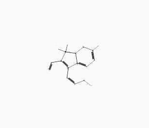 C=CC1=C(/C=C\CI)C2=CC=C(C)CC2C1(C)C